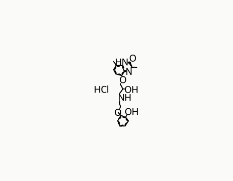 Cc1nc2c(OCC(O)CNCCOc3ccccc3O)ccc(C)c2[nH]c1=O.Cl